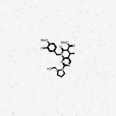 COC(=O)C1C(=O)N(Cc2ccc(OC)c(Cl)c2)c2nc(N3CCC[C@H]3CO)ncc2C1C